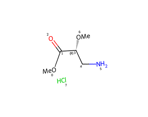 COC(=O)[C@@H](CN)OC.Cl